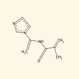 C=C(C)C(=O)NC(=C)n1ccnc1